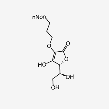 CCCCCCCCCCCCOC1=C(O)[C@@H]([C@@H](O)CO)OC1=O